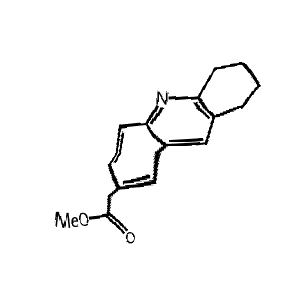 COC(=O)c1ccc2nc3c(cc2c1)CCCC3